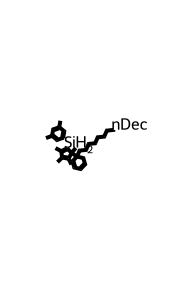 CCCCCCCCCCCCCCCCCCC1(C2(C)C(C)=C(C)C(C)=C2[SiH2]c2cc(C)cc(C)c2)C=CC=CC1